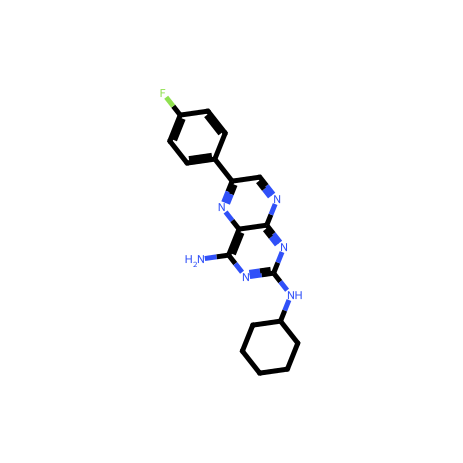 Nc1nc(NC2CCCCC2)nc2ncc(-c3ccc(F)cc3)nc12